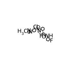 Cc1ccn(-c2ccc(C(=O)N3CCC(F)(F)C(=CC(=O)Nc4cccc(F)c4)c4ccccc43)c(Cl)c2)n1